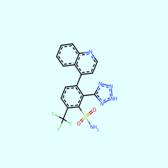 NS(=O)(=O)c1c(C(F)(F)F)ccc(-c2ccnc3ccccc23)c1-c1nn[nH]n1